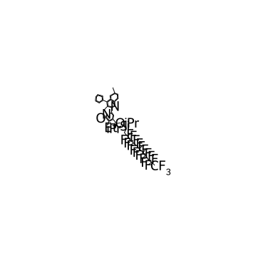 CCC(O[Si](CCC(F)(F)C(F)(F)C(F)(F)C(F)(F)C(F)(F)C(F)(F)C(F)(F)C(F)(F)C(F)(F)C(F)(F)F)(C(C)C)C(C)C)c1cc2n(c(=O)c1C)Cc1c-2nc2ccc(C)cc2c1-c1ccccc1